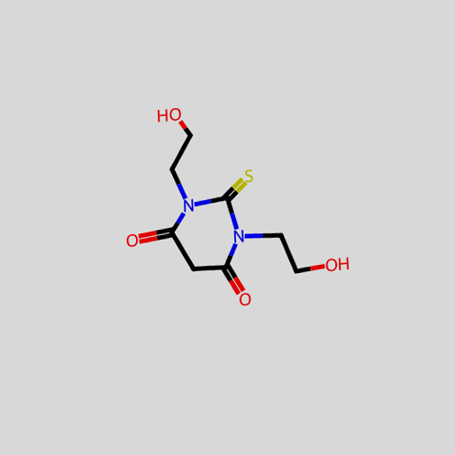 O=C1CC(=O)N(CCO)C(=S)N1CCO